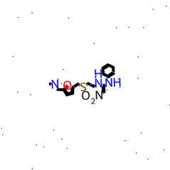 CN(C)Cc1ccc(CSCCNC(=C[N+](=O)[O-])NC2=CCC=CC2)o1